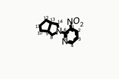 O=[N+]([O-])c1cccnc1N1CC2CCCC2C1